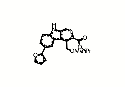 COCc1c(C(=O)OC(C)C)ncc2[nH]c3ccc(-c4ccco4)cc3c12